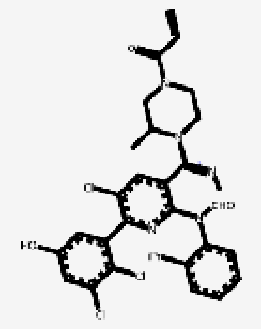 C=CC(=O)N1CCN(/C(=N/C)c2cc(Cl)c(-c3cc(O)cc(Cl)c3Cl)nc2N(C=O)c2ccccc2C(C)C)C(C)C1